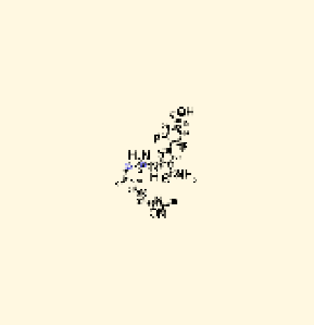 C=C(/C=C\C=C(/N)Nc1sc(-c2c(F)cc(C(C)(C)O)cc2F)cc1C(N)=O)CCOCc1nc(C)no1